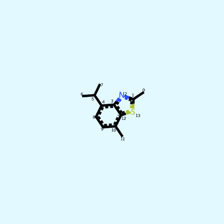 Cc1nc2c(C(C)C)ccc(C)c2s1